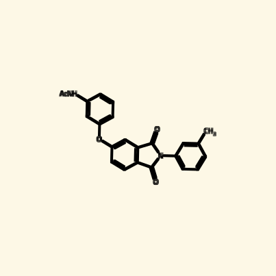 CC(=O)Nc1cccc(Oc2ccc3c(c2)C(=O)N(c2cccc(C)c2)C3=O)c1